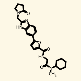 CN(C(=O)CNC(=O)c1ccc(-c2ccc3nc(CN4CCCC4=O)[nH]c3c2)o1)C1CCCCC1